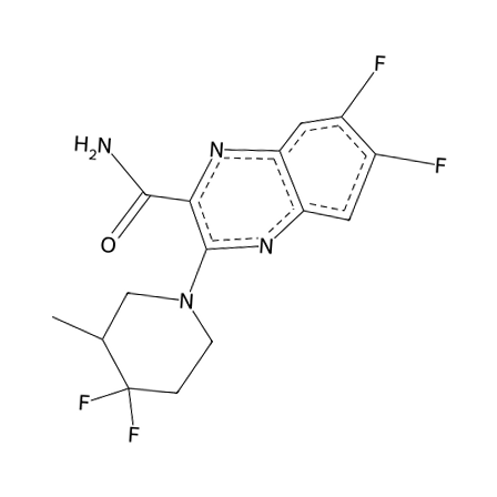 CC1CN(c2nc3cc(F)c(F)cc3nc2C(N)=O)CCC1(F)F